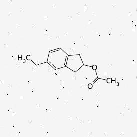 CCc1ccc2c(c1)CC(OC(C)=O)C2